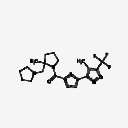 Cc1c(-c2ccc(C(=O)N3CCCC3(C)CN3CCCC3)s2)noc1C(F)(F)F